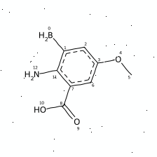 Bc1cc(OC)cc(C(=O)O)c1N